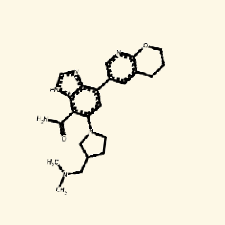 CN(C)CC1CCN(c2cc(-c3cnc4c(c3)CCCO4)c3nc[nH]c3c2C(N)=O)C1